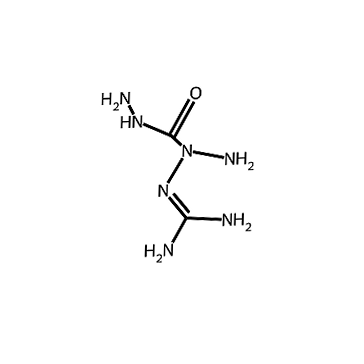 NNC(=O)N(N)N=C(N)N